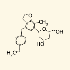 C=Cc1ccc(Cc2cc(C3CC(O)CC(CO)O3)c(C)c3c2CCO3)cc1